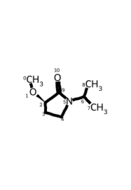 CO[C@@H]1CCN(C(C)C)C1=O